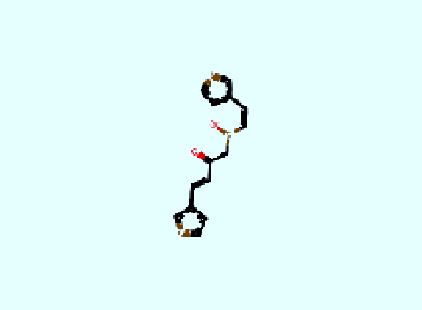 O=C(C=Cc1ccsc1)C[S+]([O-])/C=C\c1ccsc1